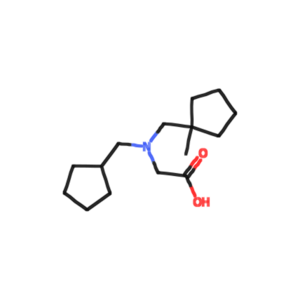 CC1(CN(CC(=O)O)CC2CCCC2)CCCC1